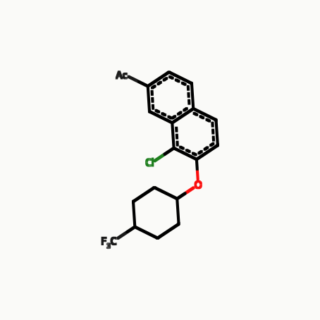 CC(=O)c1ccc2ccc(OC3CCC(C(F)(F)F)CC3)c(Cl)c2c1